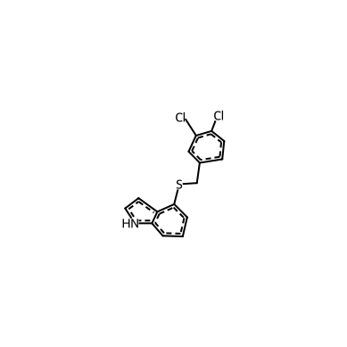 Clc1ccc(CSc2cccc3[nH]ccc23)cc1Cl